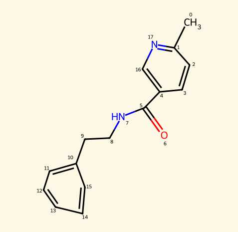 Cc1ccc(C(=O)NCCc2ccccc2)cn1